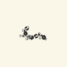 CCOc1cc(C(=O)N2CCOCC2)ccc1Nc1nc2ccc(N3CCN(C(=O)NCc4ccc(F)cc4)CC3)cn2n1